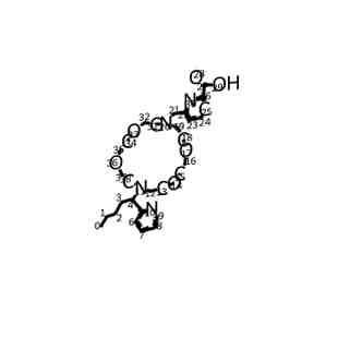 CCCCC(c1ccccn1)N1CCOCCOCCN(Cc2cccc(C(=O)O)n2)CCOCCOCC1